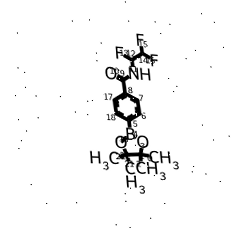 CC1(C)OB(c2ccc(C(=O)NC(F)C(F)F)cc2)OC1(C)C